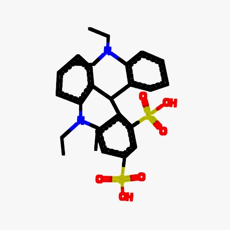 CCN(CC)c1ccccc1C(c1ccccc1N(CC)CC)c1ccc(S(=O)(=O)O)cc1S(=O)(=O)O